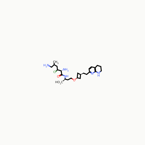 CC(CN)CC(Cl)[C@H](N)C(=O)N[C@@H](CCO[C@H]1C[C@@H](CCc2ccc3c(n2)NCCC3)C1)C(=O)O